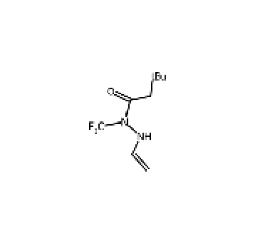 C=CNN(C(=O)CC(C)(C)C)C(F)(F)F